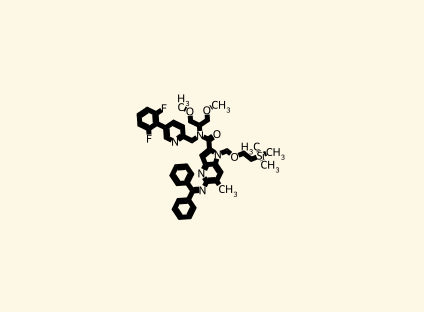 COCC(COC)N(Cc1ccc(-c2c(F)cccc2F)cn1)C(=O)c1cc2nc(N=C(c3ccccc3)c3ccccc3)c(C)cc2n1COCC[Si](C)(C)C